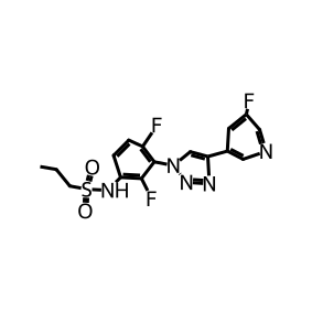 CCCS(=O)(=O)Nc1ccc(F)c(-n2cc(-c3cncc(F)c3)nn2)c1F